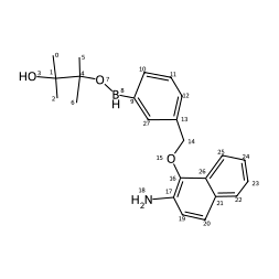 CC(C)(O)C(C)(C)OBc1cccc(COc2c(N)ccc3ccccc23)c1